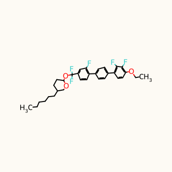 CCCCCCC1CCC(OC(F)(F)c2ccc(-c3ccc(-c4ccc(OCC)c(F)c4F)cc3)c(F)c2)OC1